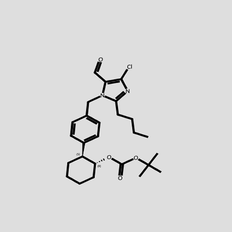 CCCCc1nc(Cl)c(C=O)n1Cc1ccc([C@@H]2CCCC[C@H]2OC(=O)OC(C)(C)C)cc1